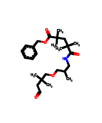 CC(CNC(=O)C(C)(C)CC(C)(C)C(=O)OCc1ccccc1)COCC(C)(C)CC=O